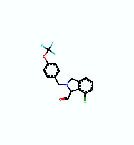 O=CC1c2c(Cl)cccc2CN1Cc1ccc(OC(F)(F)F)cc1